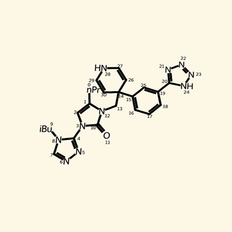 CCCc1cn(-c2nncn2C(C)CC)c(=O)n1CC1(c2cccc(-c3nnn[nH]3)c2)C=CNC=C1